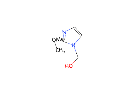 COC.OCn1ccnc1